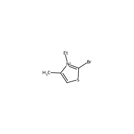 CC[n+]1c(C)csc1Br